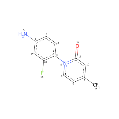 Nc1ccc(-n2ccc(C(F)(F)F)cc2=O)c(F)c1